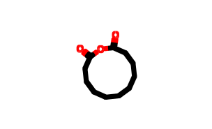 O=C1CCCCCCCCCC(=O)O1